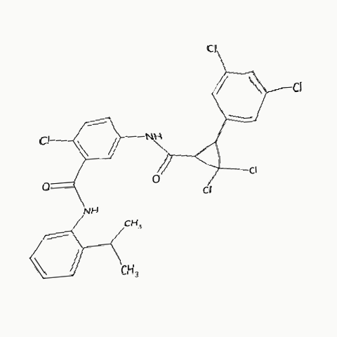 CC(C)c1ccccc1NC(=O)c1cc(NC(=O)C2C(c3cc(Cl)cc(Cl)c3)C2(Cl)Cl)ccc1Cl